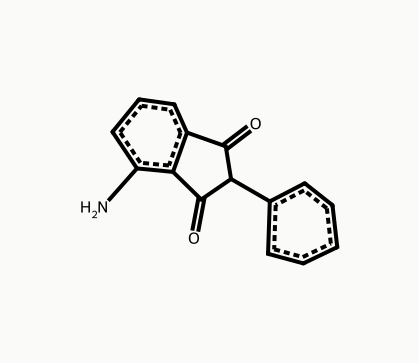 Nc1cccc2c1C(=O)C(c1ccccc1)C2=O